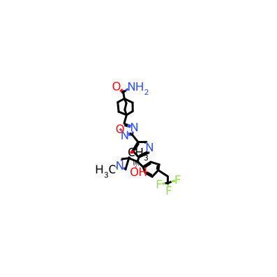 CN1CC(C)([C@](O)(c2ccc(CC(F)(F)F)cc2)c2cncc(-c3noc(C45CCC(C(N)=O)(CC4)CC5)n3)c2)C1